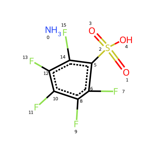 N.O=S(=O)(O)c1c(F)c(F)c(F)c(F)c1F